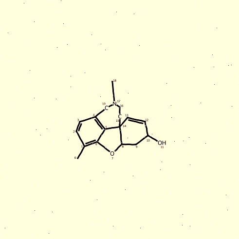 Cc1ccc2c3c1OC1CC(O)C=CC31CCN(C)C2